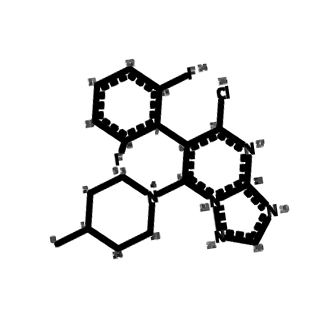 CC1CCN(c2c(-c3c(F)cccc3F)c(Cl)nc3ncnn23)CC1